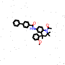 COc1ccccc1C1(C)CC(C)(C)N(C(C)=O)c2ccc(NC(=O)c3ccc(-c4ccccc4)cc3)cc21